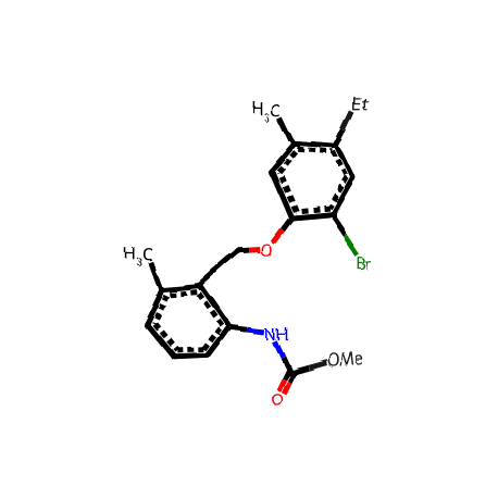 CCc1cc(Br)c(OCc2c(C)cccc2NC(=O)OC)cc1C